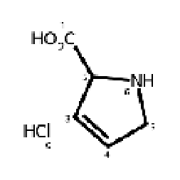 Cl.O=C(O)C1C=CCN1